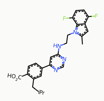 Cc1cc2c(F)ccc(F)c2n1CCNc1cc(-c2ccc(C(=O)O)c(CC(C)C)c2)ncn1